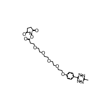 Cc1nnc(-c2ccc(OCCOCCOCCOCCOCCC(=O)ON3C(=O)CCC3=O)cc2)nn1